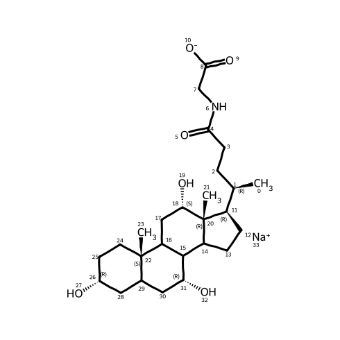 C[C@H](CCC(=O)NCC(=O)[O-])[C@H]1CCC2C3C(C[C@H](O)[C@@]21C)[C@@]1(C)CC[C@@H](O)CC1C[C@H]3O.[Na+]